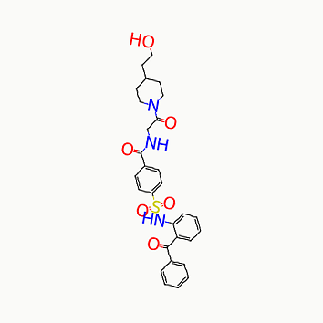 O=C(NCC(=O)N1CCC(CCO)CC1)c1ccc(S(=O)(=O)Nc2ccccc2C(=O)c2ccccc2)cc1